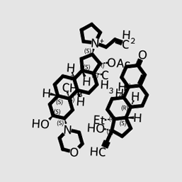 C#C[C@]1(O)CC[C@H]2[C@@H]3CCC4=CC(=O)CC[C@@H]4[C@H]3CC[C@@]21CC.C=CC[N+]1([C@H]2C[C@H]3[C@@H]4CC[C@H]5C[C@H](O)[C@@H](N6CCOCC6)C[C@]5(C)[C@H]4CC[C@]3(C)[C@H]2OC(C)=O)CCCC1